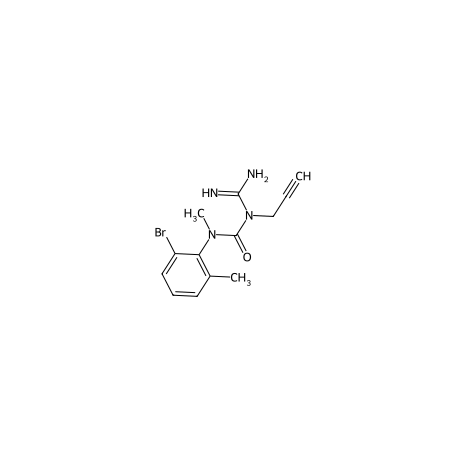 C#CCN(C(=N)N)C(=O)N(C)c1c(C)cccc1Br